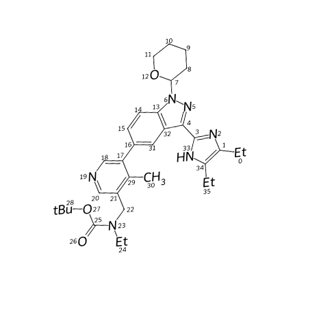 CCc1nc(-c2nn(C3CCCCO3)c3ccc(-c4cncc(CN(CC)C(=O)OC(C)(C)C)c4C)cc23)[nH]c1CC